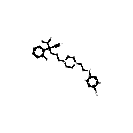 Cc1ccccc1C(C#N)(CCCN1CCN(CCOc2ccc(F)cc2)CC1)C(C)C